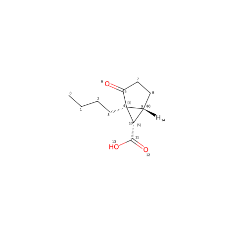 CCCC[C@]12C(=O)CC[C@@H]1[C@@H]2C(=O)O